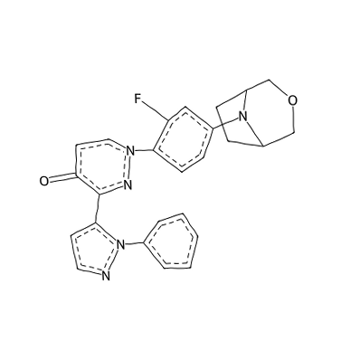 O=c1ccn(-c2ccc(N3C4CCC3COC4)cc2F)nc1-c1ccnn1-c1ccccc1